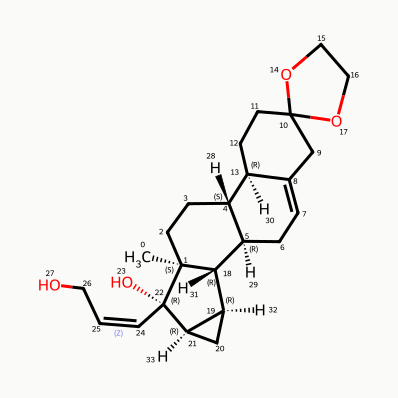 C[C@]12CC[C@H]3[C@@H](CC=C4CC5(CC[C@@H]43)OCCO5)[C@@H]1[C@H]1C[C@H]1[C@@]2(O)/C=C\CO